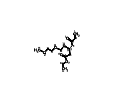 C=CC(=O)C[C@H](CC(=O)OCC)OCOCCOC